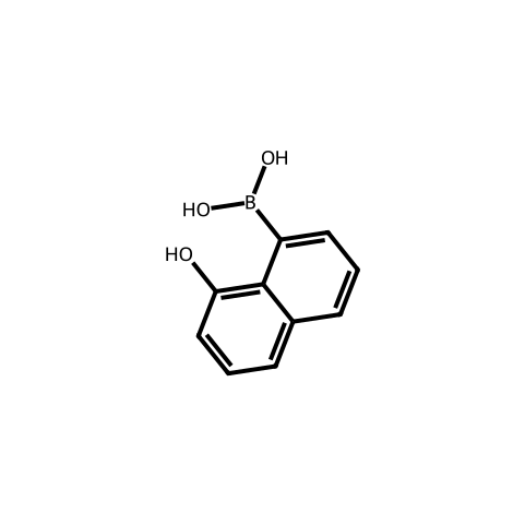 OB(O)c1cccc2cccc(O)c12